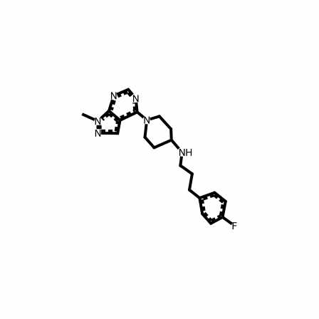 Cn1ncc2c(N3CCC(NCCCc4ccc(F)cc4)CC3)ncnc21